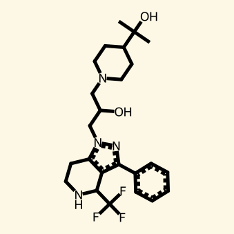 CC(C)(O)C1CCN(CC(O)Cn2nc(-c3ccccc3)c3c2CCNC3C(F)(F)F)CC1